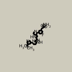 CN(C)c1cncc(-c2ccc3[nH]nc(-c4cc5c(-c6cc(F)cc(CCS(N)(=O)=O)c6)nccc5[nH]4)c3n2)c1